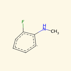 CNc1[c]cccc1F